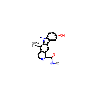 CCNC(=O)c1nccc2c(C)c3c(cc12)c1cc(O)ccc1n3C.CNC